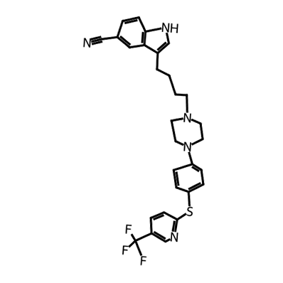 N#Cc1ccc2[nH]cc(CCCCN3CCN(c4ccc(Sc5ccc(C(F)(F)F)cn5)cc4)CC3)c2c1